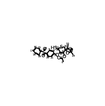 CC(=O)O[C@@H]1[C@@H](Oc2ccc(S(=O)(=O)c3ccccc3)cc2)[C@H](S)SC[C@]1(OC(C)=O)C(C)=O